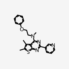 Cc1sc2nc(-c3cccnc3)nc(N(C)CCOc3ccccc3)c2c1C